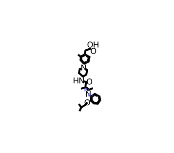 CC(/N=c1\cccccc1OCC(C)C)=C(/C)C(=O)NC1CCN(c2ccc(CC(=O)O)c(C)c2)CC1